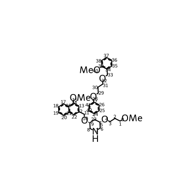 COCCCO[C@@H]1CNC[C@H](OCc2cc(OC)c3ccccc3c2)[C@@H]1c1ccc(OCCCOCc2ccccc2OC)cc1